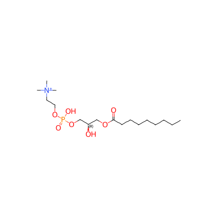 CCCCCCCCC(=O)OC[C@@H](O)COP(=O)(O)OCC[N+](C)(C)C